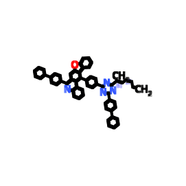 C=C/C=C\C=C(/C)c1nc(-c2ccc(-c3ccccc3)cc2)nc(-c2ccc(-c3c4c(cc5c(-c6ccc(-c7ccccc7)cc6)nc6ccccc6c35)oc3ccccc34)cc2)n1